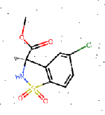 COC(=O)[C@]1(C)NS(=O)(=O)c2ccc(Cl)cc21